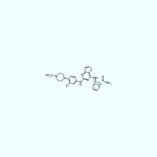 NC(=O)[C@@H]1C2C=CC(C2)[C@H]1Nc1nc(Nc2ccc(N3CCN(C(=O)O)CC3)c(F)c2)nc2ccsc12